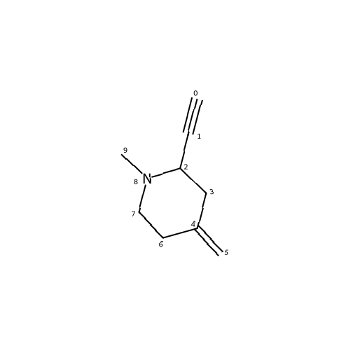 C#CC1CC(=C)CCN1C